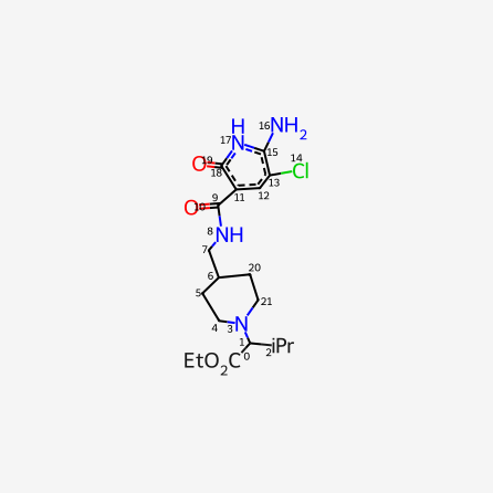 CCOC(=O)C(C(C)C)N1CCC(CNC(=O)c2cc(Cl)c(N)[nH]c2=O)CC1